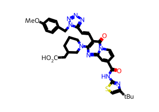 COc1ccc(Cn2nnnc2/C=C/c2c(N3CCCC(CC(=O)O)C3)nc3cc(C(=O)Nc4nc(C(C)(C)C)cs4)ccn3c2=O)cc1